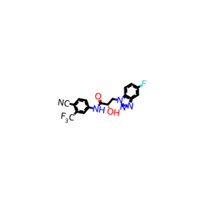 N#Cc1ccc(NC(=O)[C@@H](O)Cn2nnc3cc(F)ccc32)cc1C(F)(F)F